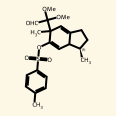 COC(C=O)(OC)C1(C)C=C2CC[C@@H](C)C2C=C1OS(=O)(=O)c1ccc(C)cc1